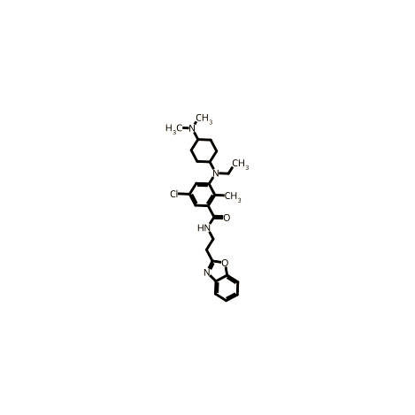 CCN(c1cc(Cl)cc(C(=O)NCCc2nc3ccccc3o2)c1C)C1CCC(N(C)C)CC1